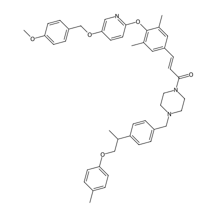 COc1ccc(COc2ccc(Oc3c(C)cc(C=CC(=O)N4CCN(Cc5ccc(C(C)COc6ccc(C)cc6)cc5)CC4)cc3C)nc2)cc1